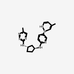 CC1=CN(c2ccc(N[C@H]3CC[C@H](Nc4ncc(C)nn4)C3)nc2)NC=C1